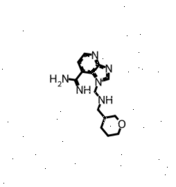 N=C(N)c1ccnc2ncn(CNCC3CCCOC3)c12